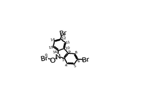 BrOn1c2ccc(Br)cc2c2cc(Br)ccc21